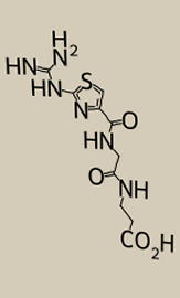 N=C(N)Nc1nc(C(=O)NCC(=O)NCCC(=O)O)cs1